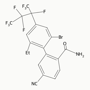 CCc1cc(C(F)(C(F)(F)F)C(F)(F)C(F)(F)F)cc(Br)c1-c1cc(C#N)ccc1C(N)=O